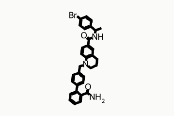 CC(NC(=O)c1ccc2c(c1)CCCN2Cc1ccc(-c2ccccc2C(N)=O)cc1)c1ccc(Br)cc1